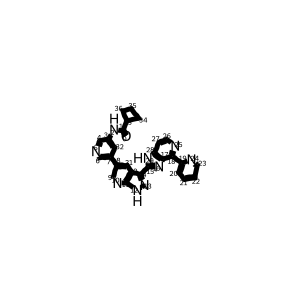 O=C(Nc1cncc(-c2cnc3[nH]nc(-c4nc5c(-c6ccccn6)nccc5[nH]4)c3c2)c1)C1CCC1